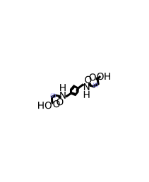 O=C(O)/C=C\C(=O)NCc1ccc(CNC(=O)/C=C\C(=O)O)cc1